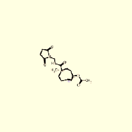 CC(=O)O[C@H]1/C=C/CC[C@@](C)(C(=O)NCN2C(=O)CCC2=O)CC1